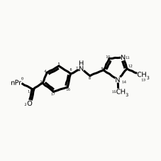 CCCC(=O)c1ccc(NCc2cnc(C)n2C)cc1